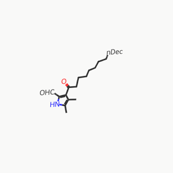 CCCCCCCCCCCCCCCCCC(=O)c1c(C=O)[nH]c(C)c1C